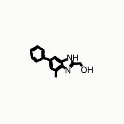 Cc1cc(-c2ccccc2)cc2[nH]c(CO)nc12